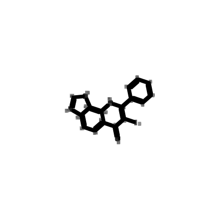 O=c1c(I)c(-c2ccccc2)oc2c1ccc1ncoc12